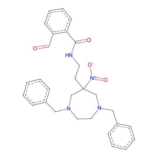 O=Cc1ccccc1C(=O)NCCC1([N+](=O)[O-])CN(Cc2ccccc2)CCN(Cc2ccccc2)C1